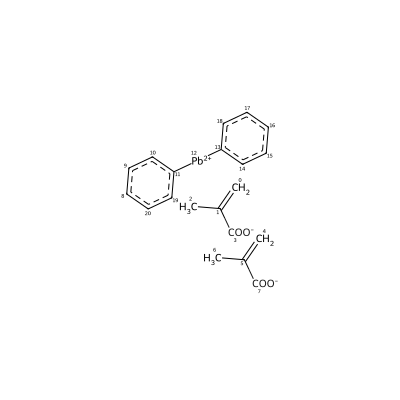 C=C(C)C(=O)[O-].C=C(C)C(=O)[O-].c1cc[c]([Pb+2][c]2ccccc2)cc1